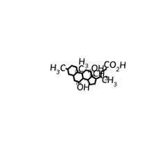 CC1CC[C@@]2(C)C(C1)C[C@@H](O)C1C2C[C@H](O)[C@]2(C)C(C(C)CCC(=O)O)CCC12